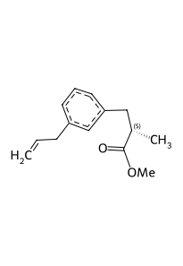 C=CCc1cccc(C[C@H](C)C(=O)OC)c1